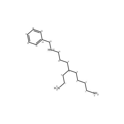 NCCCCC(CCN)CCCNCc1ccccc1